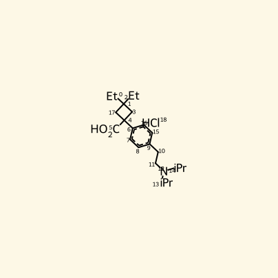 CCC1(CC)CC(C(=O)O)(c2ccc(CCN(C(C)C)C(C)C)cc2)C1.Cl